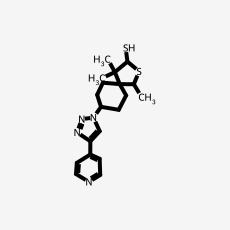 CC1SC(S)C(C)(C)C12CCC(n1cc(-c3ccncc3)nn1)CC2